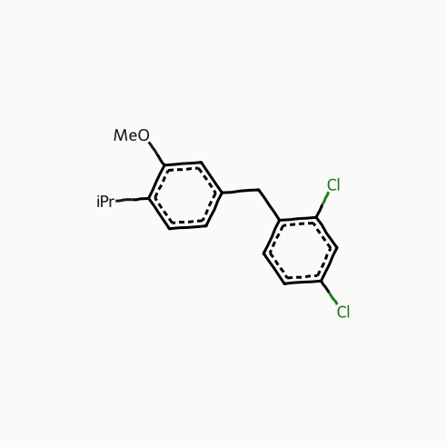 COc1cc(Cc2ccc(Cl)cc2Cl)ccc1C(C)C